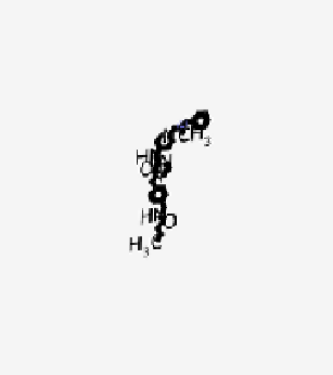 CCCC(=O)NCc1ccc(Cn2ccnc(NC3CCN(C/C(C)=C/c4ccccc4)CC3)c2=O)cc1